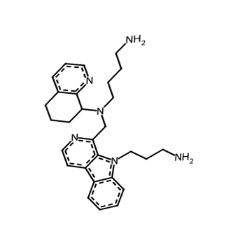 NCCCCN(Cc1nccc2c3ccccc3n(CCCN)c12)C1CCCc2cccnc21